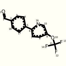 O=Cc1ccc(-c2ccc(OC(F)(F)F)cn2)cc1